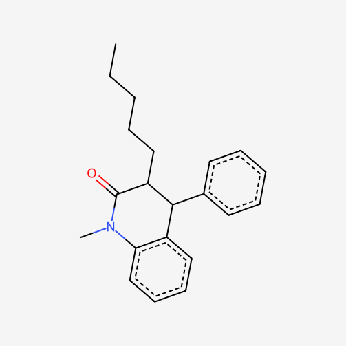 CCCCCC1C(=O)N(C)c2ccccc2C1c1ccccc1